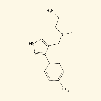 CN(CCN)Cc1c[nH]nc1-c1ccc(C(F)(F)F)cc1